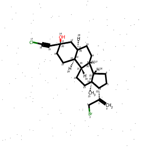 C=C(CBr)[C@H]1CC[C@H]2[C@@H]3CC[C@@H]4C[C@@](O)(C#CCl)CC[C@@H]4[C@H]3CC[C@]12C